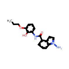 CCCOc1cccc(NC(=O)c2cccc3c2ccn3N)c1O